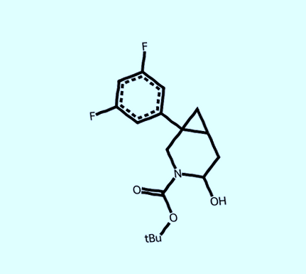 CC(C)(C)OC(=O)N1CC2(c3cc(F)cc(F)c3)CC2CC1O